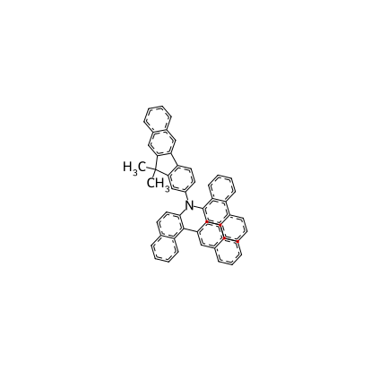 CC1(C)c2cc(N(c3ccc4ccccc4c3-c3ccc4ccccc4c3)c3cc4ccccc4c4ccccc34)ccc2-c2cc3ccccc3cc21